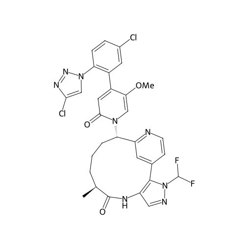 COc1cn([C@H]2CCC[C@H](C)C(=O)Nc3cnn(C(F)F)c3-c3ccnc2c3)c(=O)cc1-c1cc(Cl)ccc1-n1cc(Cl)nn1